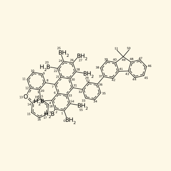 Bc1c(B)c(B)c2c(-c3cccc4oc5ccccc5c34)c3c(B)c(B)c(B)c(B)c3c(-c3cccc(-c4ccc5c(c4)-c4ccccc4C5(C)C)c3)c2c1B